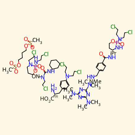 CN(C)c1nc(N(C)C)nc(N(C)C)n1.CNNCc1ccc(C(=O)NC(C)C)cc1.CS(=O)(=O)OCCCCOS(C)(=O)=O.N[C@@H](Cc1ccc(N(CCCl)CCCl)cc1)C(=O)O.O=NN(CCCl)C(=O)NC1CCCCC1.O=P1(N(CCCl)CCCl)NCCCO1.O=P1(NCCCl)OCCCN1CCCl